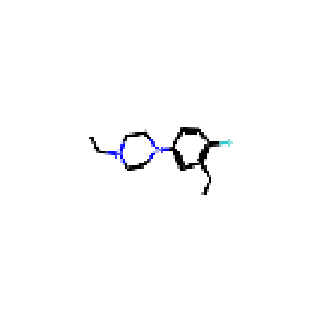 CCc1cc(N2CCN(CC)CC2)ccc1F